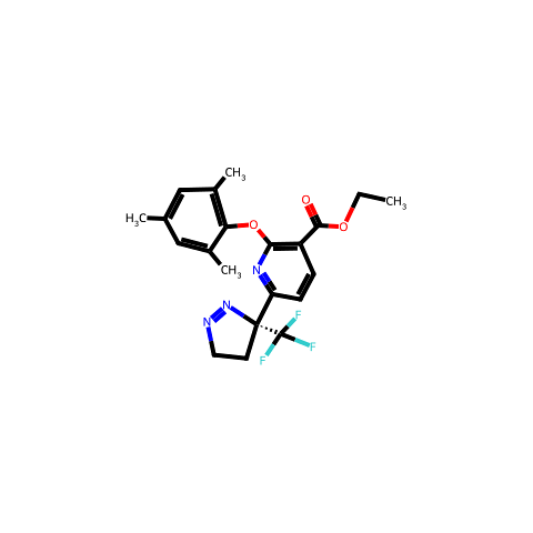 CCOC(=O)c1ccc([C@@]2(C(F)(F)F)CCN=N2)nc1Oc1c(C)cc(C)cc1C